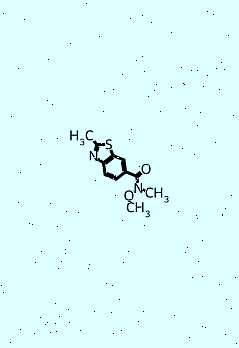 CON(C)C(=O)c1ccc2nc(C)sc2c1